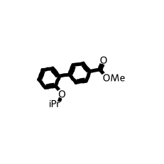 COC(=O)c1ccc(-c2ccccc2OC(C)C)cc1